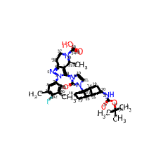 Cc1cc(-n2nc3c(c2-n2ccn(C45C6C7C4C4C5C6C74NC(=O)OC(C)(C)C)c2=O)[C@H](C)N(C(=O)O)CC3)cc(C)c1F